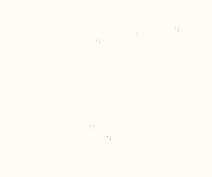 Cc1cc2c(cnn2-c2ccc(F)cc2)cc1C1CN(S(=O)(=O)N(C)C)CCN1CC(C)C